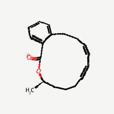 C[C@@H]1CCCC=CC=CCCc2ccccc2C(=O)O1